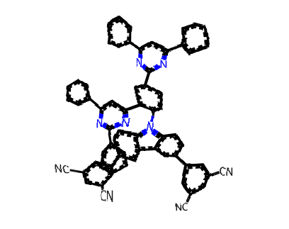 N#Cc1cc(C#N)cc(-c2ccc3c(c2)c2cc(-c4cc(C#N)cc(C#N)c4)ccc2n3-c2ccc(-c3nc(-c4ccccc4)cc(-c4ccccc4)n3)cc2-c2cc(-c3ccccc3)nc(-c3ccccc3)n2)c1